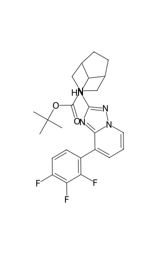 CC(C)(C)OC(=O)N1CC2CCC(C1)C2Nc1nc2c(-c3ccc(F)c(F)c3F)cccn2n1